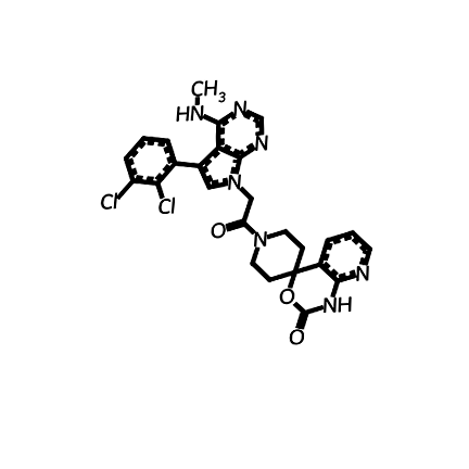 CNc1ncnc2c1c(-c1cccc(Cl)c1Cl)cn2CC(=O)N1CCC2(CC1)OC(=O)Nc1ncccc12